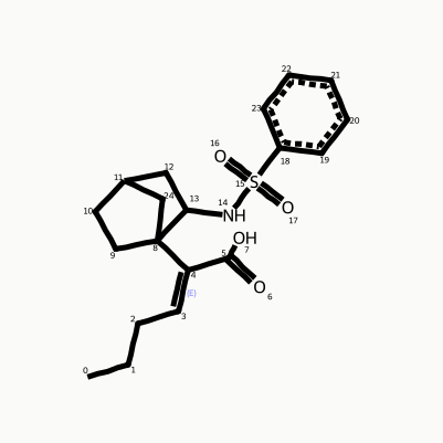 CCC/C=C(/C(=O)O)C12CCC(CC1NS(=O)(=O)c1ccccc1)C2